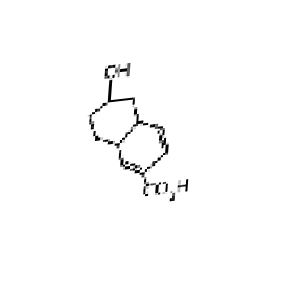 O=C(O)C1=CC2CCC(O)CC2C=C1